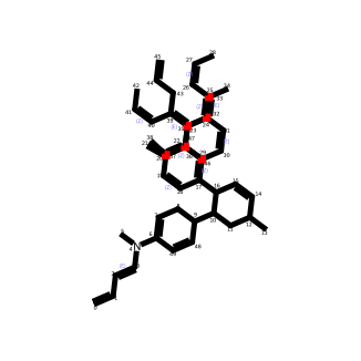 C=C/C=C/N(C)C1=CCC(C2CC(C)C=CC2C(/C=C\C(=C)N(C/C=C\C=C/C)C\C=C/C(=C\C)C(/C=C\C)=C(/C=C\C)CC=C)=C/C)C=C1